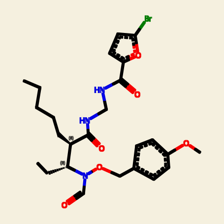 CCCCC[C@@H](C(=O)NCNC(=O)c1ccc(Br)o1)[C@@H](CC)N(C=O)OCc1ccc(OC)cc1